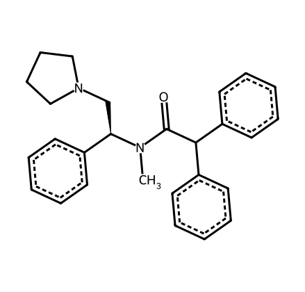 CN(C(=O)C(c1ccccc1)c1ccccc1)[C@H](CN1CCCC1)c1ccccc1